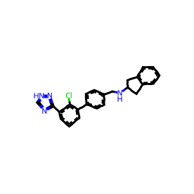 Clc1c(-c2ccc(CNC3Cc4ccccc4C3)cc2)cccc1-c1nc[nH]n1